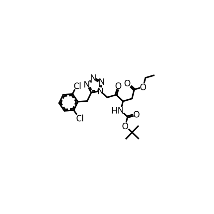 CCOC(=O)CC(NC(=O)OC(C)(C)C)C(=O)Cn1nnnc1Cc1c(Cl)cccc1Cl